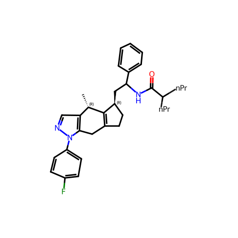 CCCC(CCC)C(=O)NC(C[C@H]1CCC2=C1[C@@H](C)c1cnn(-c3ccc(F)cc3)c1C2)c1ccccc1